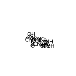 C=CC(=O)N1CCN(c2nc(OCCN3CCC(COc4cc([C@@H](C(=O)N5C[C@H](O)C[C@H]5C(=O)N[C@@H](C)c5ccc(C#N)cc5)C(C)C)on4)CC3)nc3c(F)c(-c4cc(O)cc5ccccc45)c(Cl)cc23)C[C@@H]1CC#N